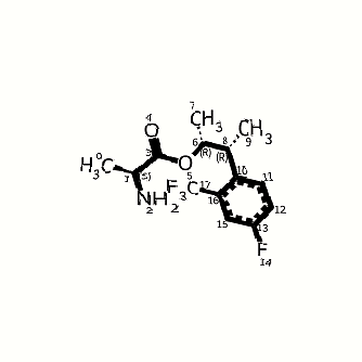 C[C@H](N)C(=O)O[C@H](C)[C@H](C)c1ccc(F)cc1C(F)(F)F